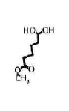 COC(=O)CCCCC(O)O